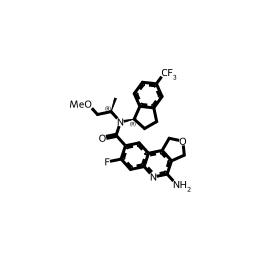 COC[C@@H](C)N(C(=O)c1cc2c3c(c(N)nc2cc1F)COC3)[C@@H]1CCc2cc(C(F)(F)F)ccc21